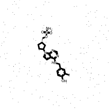 NS(=O)(=O)OC[C@H]1CCC(n2ccc3c(NCc4ccc(O)c(I)c4)ncnc32)C1